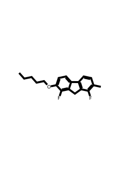 CCCCCOc1ccc2c(c1F)Cc1c-2ccc(C)c1F